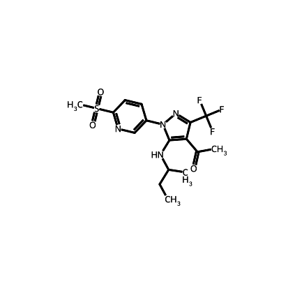 CCC(C)Nc1c(C(C)=O)c(C(F)(F)F)nn1-c1ccc(S(C)(=O)=O)nc1